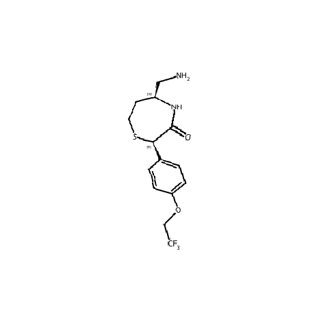 NC[C@@H]1CCS[C@H](c2ccc(OCC(F)(F)F)cc2)C(=O)N1